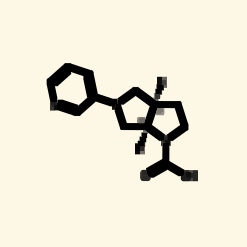 O=C(O)N1CC[C@@H]2CN(c3cccnc3)C[C@@H]21